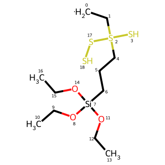 [CH2]CS(S)(CCC[Si](OCC)(OCC)OCC)SS